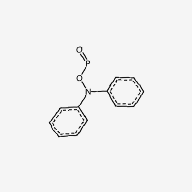 O=PON(c1ccccc1)c1ccccc1